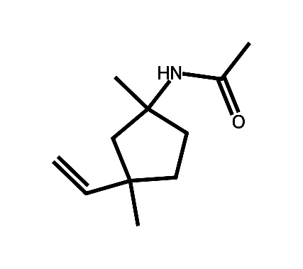 C=CC1(C)CCC(C)(NC(C)=O)C1